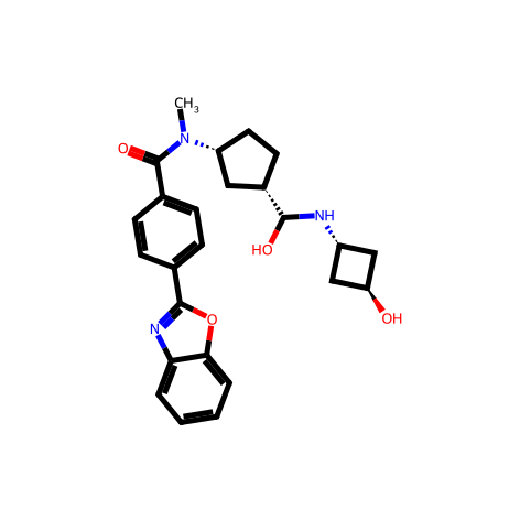 CN(C(=O)c1ccc(-c2nc3ccccc3o2)cc1)[C@@H]1CC[C@H](C(O)N[C@H]2C[C@H](O)C2)C1